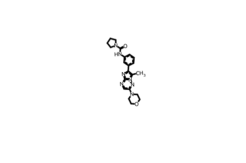 Cc1c(-c2cccc(NC(=O)N3CCCC3)c2)nc2ncc(N3CCOCC3)nn12